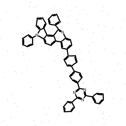 c1ccc(-c2nc(-c3ccccc3)nc(-c3ccc(-c4ccc(-c5ccc6nc(-c7ccccc7)c7c(ccc8c7c7ccccc7n8-c7ccccc7)c6c5)cc4)cc3)n2)cc1